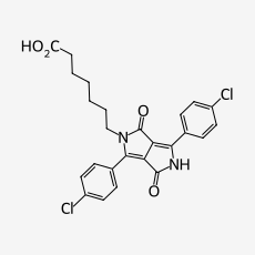 O=C(O)CCCCCCN1C(=O)C2=C(c3ccc(Cl)cc3)NC(=O)C2=C1c1ccc(Cl)cc1